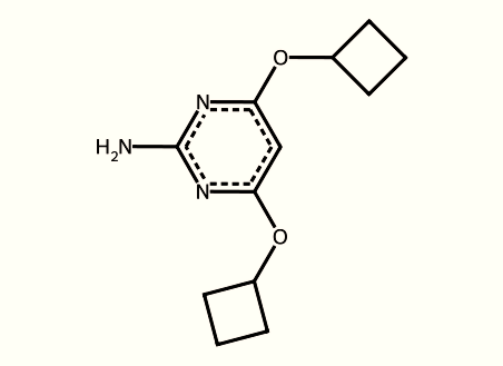 Nc1nc(OC2CCC2)cc(OC2CCC2)n1